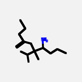 C=C(CCC)CC(C)(C(C)C)C(N)CCC